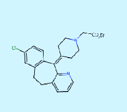 CCOC(=O)CN1CCC(=C2c3ccc(Cl)cc3CCc3cccnc32)CC1